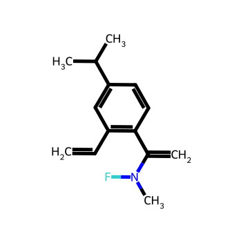 C=Cc1cc(C(C)C)ccc1C(=C)N(C)F